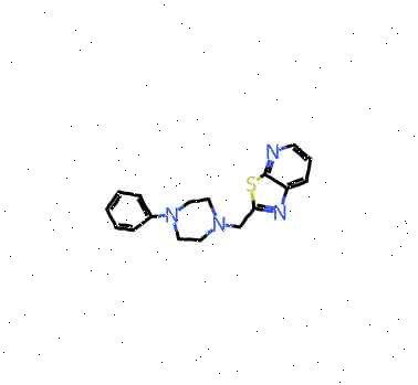 c1ccc(N2CCN(Cc3nc4cccnc4s3)CC2)cc1